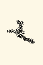 CCOC(=O)c1[nH]c2c(-c3c(COc4ccc(N5CCN(C(=O)OC(C)(C)C)CC5)cc4)nn(C)c3C=CCCCCO)cccc2c1CCCOc1cccc2ccccc12